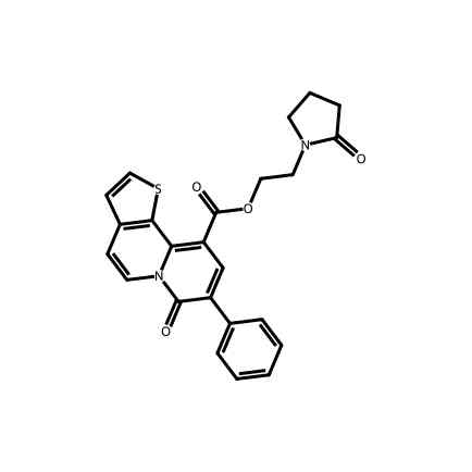 O=C(OCCN1CCCC1=O)c1cc(-c2ccccc2)c(=O)n2ccc3ccsc3c12